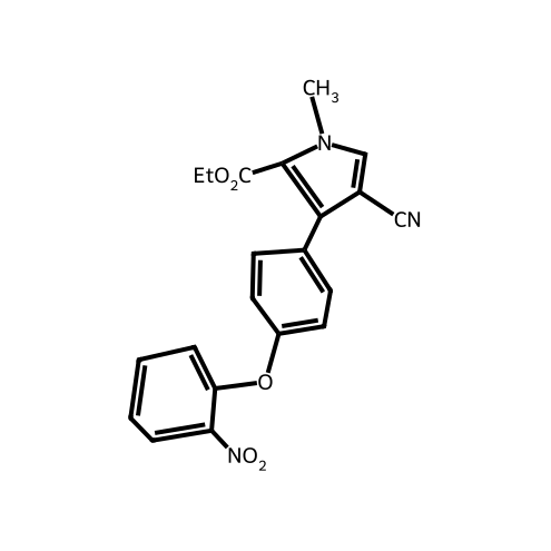 CCOC(=O)c1c(-c2ccc(Oc3ccccc3[N+](=O)[O-])cc2)c(C#N)cn1C